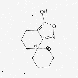 Oc1onc2c1CCC[C@@]21CCCCC12OCCO2